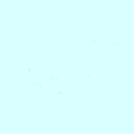 C/C(N)=N/N=C(\N)c1ccc(C(C)(C)C(C)(C)C)cc1